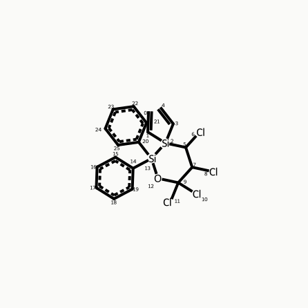 C=C[Si]1(C=C)C(Cl)C(Cl)C(Cl)(Cl)O[Si]1(c1ccccc1)c1ccccc1